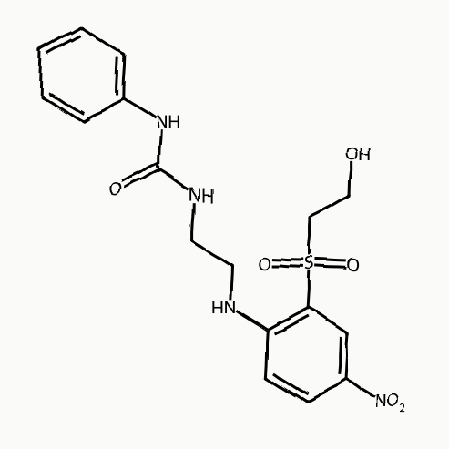 O=C(NCCNc1ccc([N+](=O)[O-])cc1S(=O)(=O)CCO)Nc1ccccc1